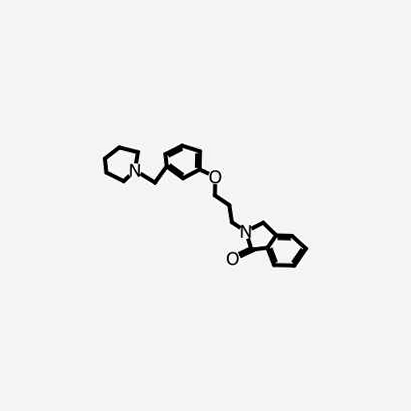 O=C1c2ccccc2CN1CCCOc1cccc(CN2CCCCC2)c1